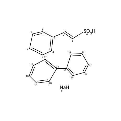 O=S(=O)(O)C=Cc1ccccc1.[NaH].c1ccc(-c2ccccc2)cc1